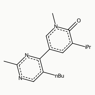 CCCCc1cnc(C)nc1-c1cc(C(C)C)c(=O)n(C)c1